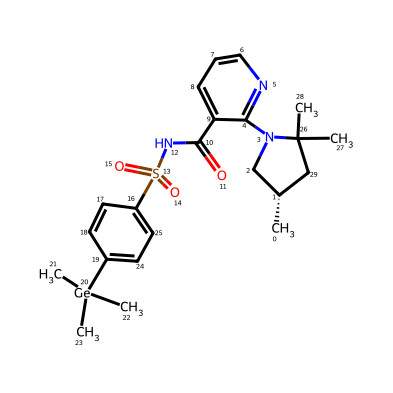 C[C@@H]1CN(c2ncccc2C(=O)NS(=O)(=O)c2cc[c]([Ge]([CH3])([CH3])[CH3])cc2)C(C)(C)C1